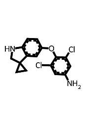 Nc1cc(Cl)c(Oc2ccc3c(c2)C2(CC2)CN3)c(Cl)c1